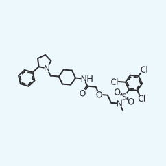 CN(CCOCC(=O)NC1CCC(CN2CCCC2c2ccccc2)CC1)S(=O)(=O)c1c(Cl)cc(Cl)cc1Cl